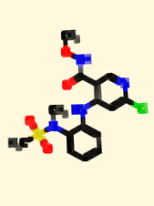 CONC(=O)c1cnc(Cl)cc1Nc1ccccc1N(C)S(C)(=O)=O